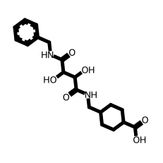 O=C(O)C1CCC(CNC(=O)C(O)C(O)C(=O)NCc2ccccc2)CC1